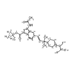 CC(=O)Nc1cn(C(=O)OC(C)(C)C)c2ccc(C=CC(C)(C)C3CCN(C(F)C(F)F)CC3)cc12